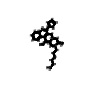 O=C(O)c1c(CN2CCN(CCOCCO)C(=O)C2)c(-c2cccs2)nc2ccccc12